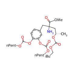 CCCCCOC(=O)Oc1ccc(CC(N)(C[C@H](C)OC(=O)OCC(C)CC)C(=O)OC)cc1OC(=O)OCCCCC